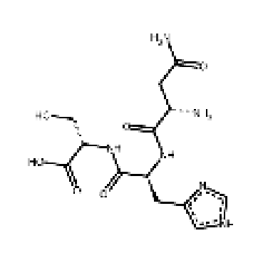 NC(=O)C[C@H](N)C(=O)N[C@@H](Cc1c[nH]cn1)C(=O)N[C@@H](CO)C(=O)O